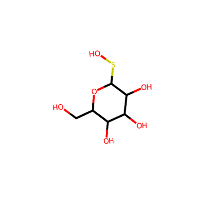 OCC1OC(SO)C(O)C(O)C1O